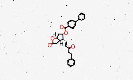 O=C(C=C[C@@H]1[C@H]2CC(=O)O[C@H]2C[C@H]1OC(=O)c1ccc(-c2ccccc2)cc1)CCc1ccccc1